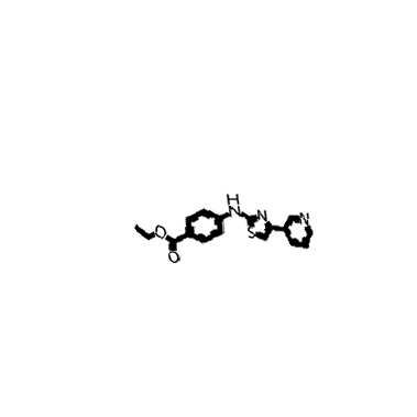 CCOC(=O)c1ccc(Nc2nc(-c3cccnc3)cs2)cc1